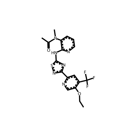 CCOc1cnc(-c2nsc(Nc3ncccc3N(C)C(C)=O)n2)cc1C(F)(F)F